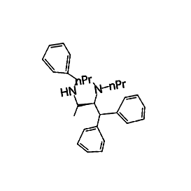 CCCN(CCC)[C@H](C(C)NCc1ccccc1)C(c1ccccc1)c1ccccc1